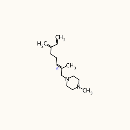 C=CC(=C)CC/C=C(\C)CN1CCN(C)CC1